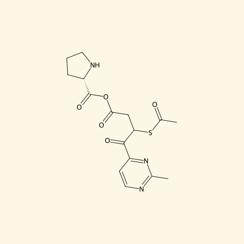 CC(=O)SC(CC(=O)OC(=O)[C@@H]1CCCN1)C(=O)c1ccnc(C)n1